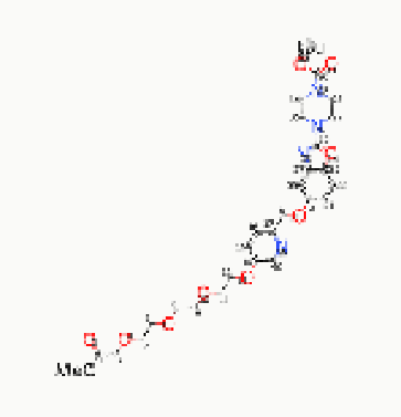 COC(=O)COCCOCCOCCOc1ccc(COc2ccc3oc(N4CCN(C(=O)OC(C)(C)C)CC4)nc3c2)nc1